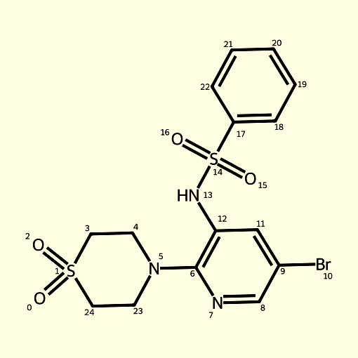 O=S1(=O)CCN(c2ncc(Br)cc2NS(=O)(=O)c2ccccc2)CC1